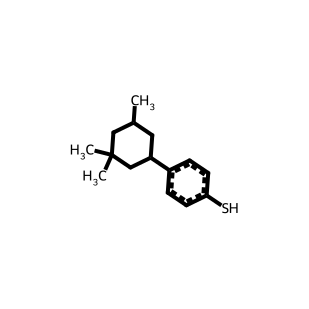 CC1CC(c2ccc(S)cc2)CC(C)(C)C1